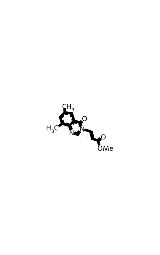 COC(=O)/C=C/n1cnc2c(C)cc(C)cc2c1=O